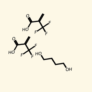 C=C(C(=O)O)C(F)(F)F.C=C(C(=O)O)C(F)(F)F.OCCCCO